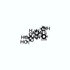 OC[C@H]1O[C@@H](n2cnc3c(N(c4ccccc4)[C@H]4CCNC4)ncnc32)[C@@H](O)[C@H]1O